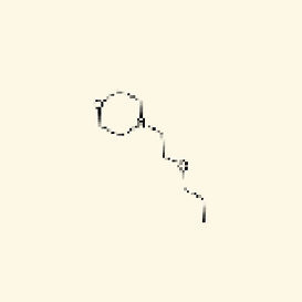 [CH2]CCOCCN1CCOCC1